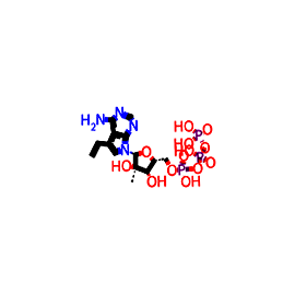 C=Cc1cn([C@@H]2O[C@H](COP(=O)(O)OP(=O)(O)OP(=O)(O)O)[C@@H](O)[C@@]2(C)O)c2ncnc(N)c12